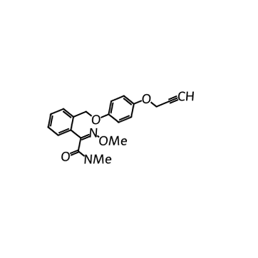 C#CCOc1ccc(OCc2ccccc2/C(=N/OC)C(=O)NC)cc1